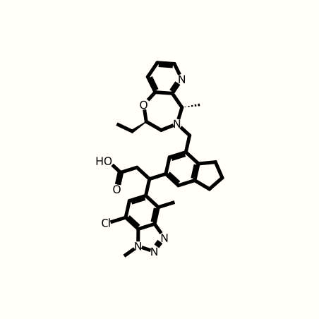 CC[C@@H]1CN(Cc2cc(C(CC(=O)O)c3cc(Cl)c4c(nnn4C)c3C)cc3c2CCC3)[C@@H](C)c2ncccc2O1